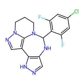 Fc1cc(Cl)cc(F)c1C1Nc2cn[nH]c2-c2cnn3c2N1CCC3